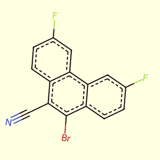 N#Cc1c(Br)c2ccc(F)cc2c2cc(F)ccc12